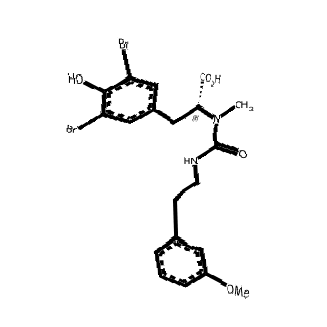 COc1cccc(CCNC(=O)N(C)[C@H](Cc2cc(Br)c(O)c(Br)c2)C(=O)O)c1